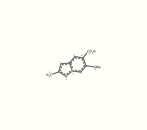 COc1cn2nc(C)cc2cc1C(=O)O